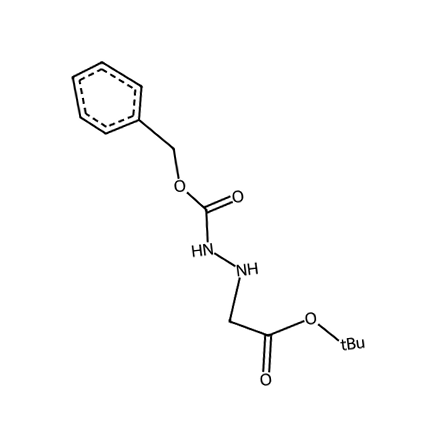 CC(C)(C)OC(=O)CNNC(=O)OCc1ccccc1